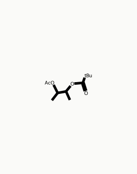 CC(=O)OC(C)C(C)OC(=O)C(C)(C)C